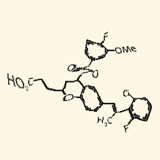 COc1cc(S(=O)(=O)C2CC(CCC(=O)O)Oc3ccc(/C=C(\C)c4c(F)cccc4Cl)cc32)ccc1F